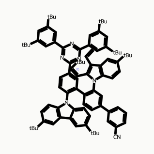 C=Cc1c(/C=C\C(C)(C)C)n(-c2cc(-c3cccc(C#N)c3)ccc2-c2cc(-c3nc(-c4cc(C(C)(C)C)cc(C(C)(C)C)c4)nc(-c4cc(C(C)(C)C)cc(C(C)(C)C)c4)n3)ccc2-n2c3ccc(C(C)(C)C)cc3c3cc(C(C)(C)C)ccc32)c2ccc(C(C)(C)C)cc12